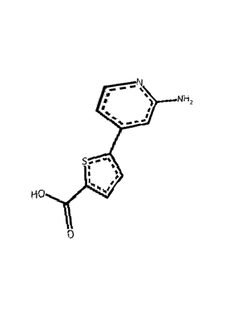 Nc1cc(-c2ccc(C(=O)O)s2)ccn1